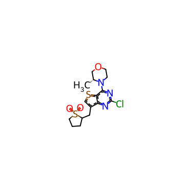 C[C@@H]1COCCN1c1nc(Cl)nc2c(CC3CCCS3(=O)=O)csc12